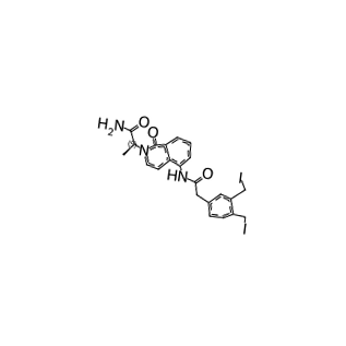 C[C@@H](C(N)=O)n1ccc2c(NC(=O)Cc3ccc(CI)c(CI)c3)cccc2c1=O